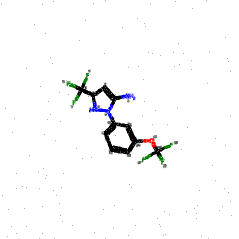 NC1=CC(C(F)(F)F)NN1c1cccc(OC(F)(F)F)c1